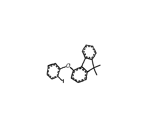 CC1(C)c2ccccc2-c2c(Oc3ccccc3I)cccc21